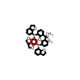 CC1(C)c2cccc(P(c3cccc4c3OCC4)c3cccc4c3OCC4)c2Oc2c(P(c3cccc4c3OCC4)c3cccc4c3OCC4)cccc21